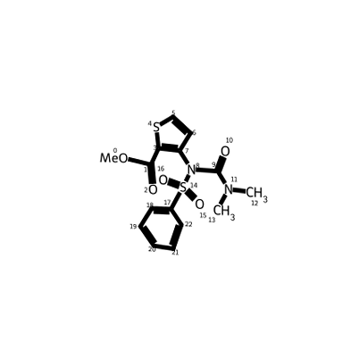 COC(=O)c1sccc1N(C(=O)N(C)C)S(=O)(=O)c1ccccc1